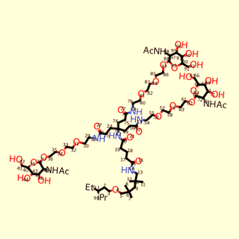 CCC(CCOCC(C)(C)CC(C)(C)CNC(=O)CCCC(=O)NC(CCC(=O)NCCOCCOCCOC1OC(CO)C(O)C(O)C1NC(C)=O)(CCC(=O)NCCOCCOCCOC1OC(CO)C(O)C(O)C1NC(C)=O)CCC(=O)NCCOCCOCCOC1OC(CO)C(O)C(O)C1NC(C)=O)C(C)C